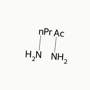 CC(N)=O.CCCN